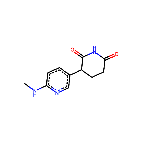 CNc1ccc(C2CCC(=O)NC2=O)cn1